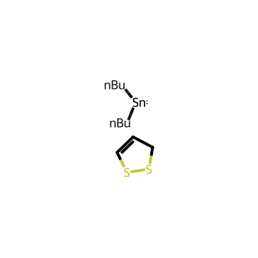 C1=CSSC1.CCC[CH2][Sn][CH2]CCC